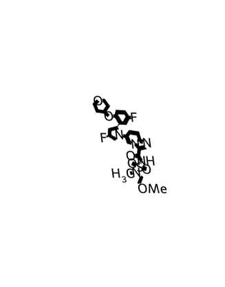 COCCN(C)S(=O)(=O)NC(=O)c1cnc2ccc(N3C[C@@H](F)C[C@@H]3c3cc(F)ccc3OC3CCOCC3)cn12